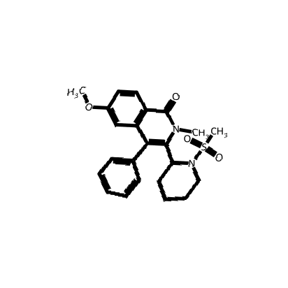 COc1ccc2c(=O)n(C)c(C3CCCCN3S(C)(=O)=O)c(-c3ccccc3)c2c1